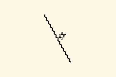 CCCCCCCCCCCCCCN(CCCCCCCCCCCCCC)C(=O)OC(C)C(C)C